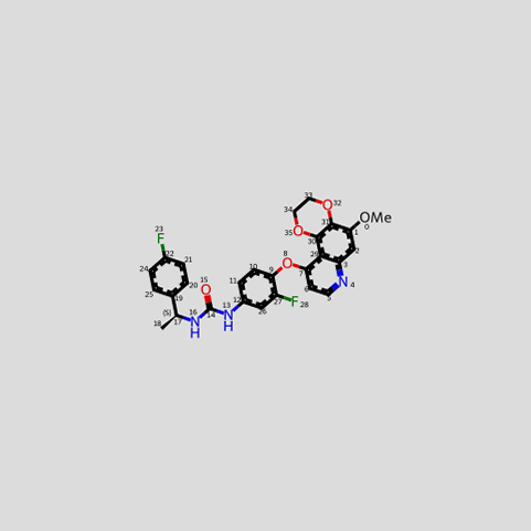 COc1cc2nccc(Oc3ccc(NC(=O)N[C@@H](C)c4ccc(F)cc4)cc3F)c2c2c1OCCO2